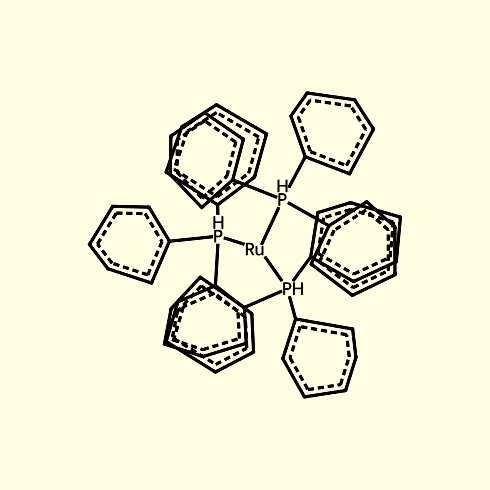 c1ccc([PH](c2ccccc2)(c2ccccc2)[Ru]([PH](c2ccccc2)(c2ccccc2)c2ccccc2)[PH](c2ccccc2)(c2ccccc2)c2ccccc2)cc1